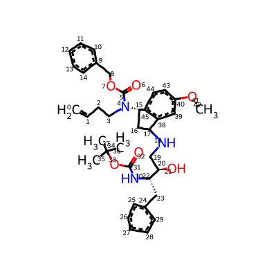 C=CCCN(C(=O)OCc1ccccc1)[C@H]1CC(NC[C@@H](O)[C@H](Cc2ccccc2)NC(=O)OC(C)(C)C)c2cc(OC)ccc21